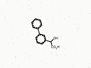 O=C(O)C(O)c1cccc(-c2ccccc2)c1